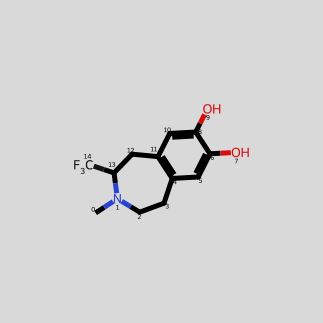 CN1CCc2cc(O)c(O)cc2CC1C(F)(F)F